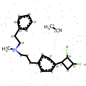 CC#N.CN(CCCc1ccc(C2CC(F)C2F)cc1)CCc1ccccc1